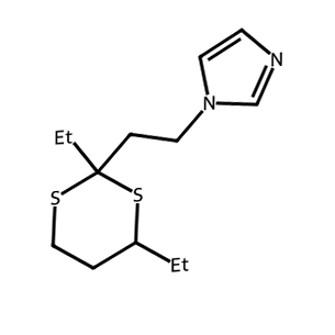 CCC1CCSC(CC)(CCn2ccnc2)S1